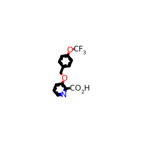 O=C(O)c1ncccc1OCc1ccc(OC(F)(F)F)cc1